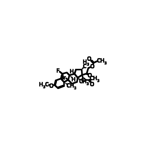 COC1=CC2=C(F)C[C@H]3[C@@H]4C[C@H](C)[C@](OC(C)=O)(C(=O)COC(C)=O)[C@@]4(C)CC[C@]3(Br)[C@@]2(C)C=C1